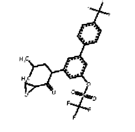 CC(C)CC(C(=O)C1CO1)c1cc(OS(=O)(=O)C(F)(F)F)cc(-c2ccc(C(F)(F)F)cc2)c1